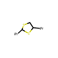 CC(C)C1CSC(C(C)C)S1